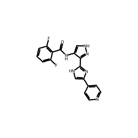 O=C(Nc1c[nH]nc1-c1nc(-c2ccncc2)c[nH]1)c1c(F)cccc1F